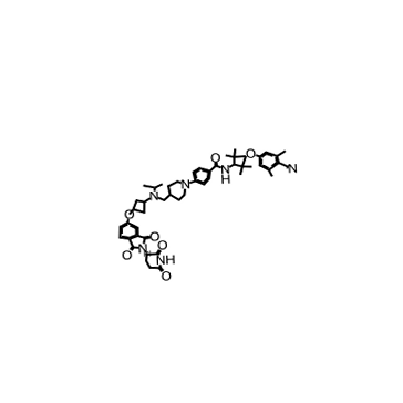 Cc1cc(OC2C(C)(C)C(NC(=O)c3ccc(N4CCC(CN(C(C)C)C5CC(Oc6ccc7c(c6)C(=O)N([C@@H]6CCC(=O)NC6=O)C7=O)C5)CC4)cc3)C2(C)C)cc(C)c1C#N